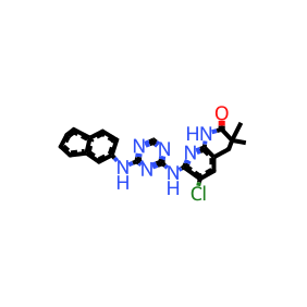 CC1(C)Cc2cc(Cl)c(Nc3ncnc(Nc4ccc5ccccc5c4)n3)nc2NC1=O